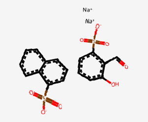 O=Cc1c(O)cccc1S(=O)(=O)[O-].O=S(=O)([O-])c1cccc2ccccc12.[Na+].[Na+]